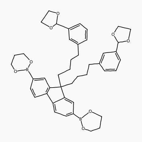 c1cc(CCCCC2(CCCCc3cccc(C4OCCO4)c3)c3cc(B4OCCCO4)ccc3-c3ccc(B4OCCCO4)cc32)cc(C2OCCO2)c1